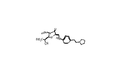 CCCCn1c(=C(C#N)C(=O)OCC)sc(=CNc2ccc(CCN3CCCC3)cc2)c1=O